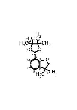 CC1(C)COc2c(B3OC(C)(C)C(C)(C)O3)cccc21